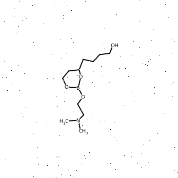 CN(C)CCOB1OCCC(CCCCO)O1